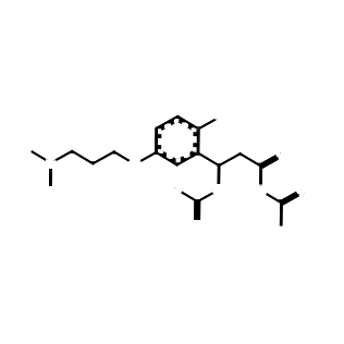 CC(=N)OC(=N)CC(OC(N)=O)c1cc(OCCCN(C)C)ccc1F